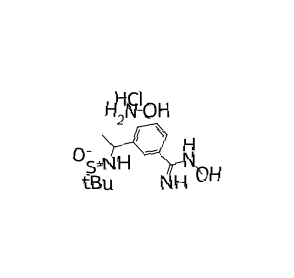 CC(N[S@+]([O-])C(C)(C)C)c1cccc(C(=N)NO)c1.Cl.NO